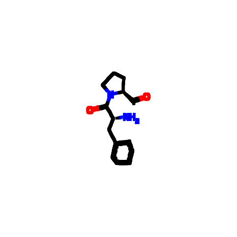 N[C@H](Cc1ccccc1)C(=O)N1CCC[C@H]1[C]=O